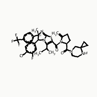 C=C1CCC(C(=O)N2CCNC3(CC3)C2)N1C(=O)C1=C(C(C)C)N2C(=N[C@@](C)(c3ccc(C(F)(F)F)cc3)C2c2ccc(Cl)c(F)c2)S1